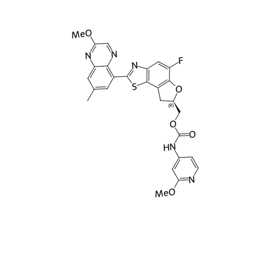 COc1cc(NC(=O)OC[C@H]2Cc3c(c(F)cc4nc(-c5cc(C)cc6nc(OC)cnc56)sc34)O2)ccn1